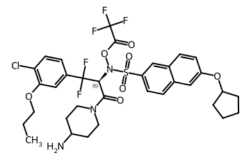 CCCOc1cc(C(F)(F)[C@H](C(=O)N2CCC(N)CC2)N(OC(=O)C(F)(F)F)S(=O)(=O)c2ccc3cc(OC4CCCC4)ccc3c2)ccc1Cl